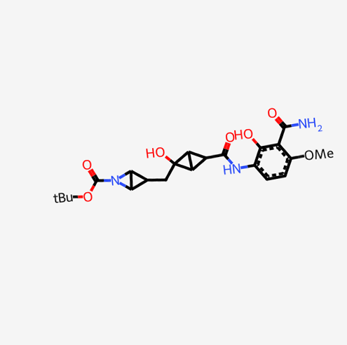 COc1ccc(NC(=O)C2C3C2C3(O)CC2C3C2N3C(=O)OC(C)(C)C)c(O)c1C(N)=O